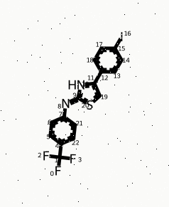 FC(F)(F)c1ccc(N=c2[nH]c(-c3ccc(I)cc3)cs2)cc1